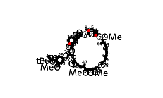 CO[C@H]1C[C@@H]2CC[C@@H](C)[C@](O)(CC(=O)C(=O)N3CCCC[C@H]3C(=O)O[C@H]([C@H](C)C[C@@H]3CCC(O[Si](C)(C)C(C)(C)C)[C@H](OC)C3)CC(=O)[C@H](C)/C=C(\C)[C@@H](OC)[C@@H](OC)C(=O)[C@H](C)C[C@H](C)/C=C/C=C/C=C/1C)O2